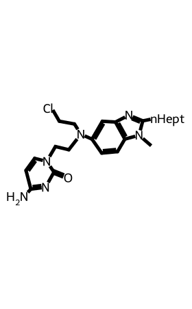 CCCCCCCc1nc2cc(N(CCCl)CCn3ccc(N)nc3=O)ccc2n1C